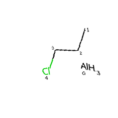 [AlH3].[CH2]CCCl